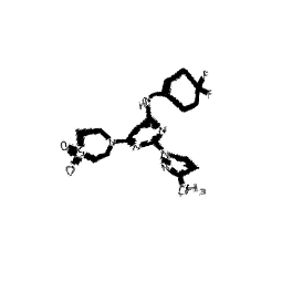 Cc1ccn(-c2nc(NC3CCC(F)(F)CC3)cc(N3CCS(=O)(=O)CC3)n2)n1